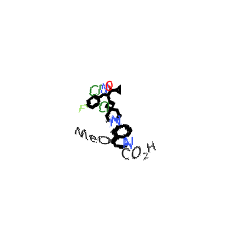 COc1cc(C(=O)O)nc2ccc(N3CCC4(C=C(c5c(-c6c(Cl)cc(F)cc6Cl)noc5C5CC5)C4)CC3)cc12